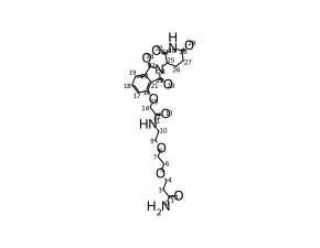 NC(=O)CCOCCOCCNC(=O)COc1cccc2c1C(=O)N(C1CCC(=O)NC1=O)C2=O